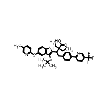 CCC(CC)(C(=O)O)C(Cc1ccc(-c2ccc(C(F)(F)F)cn2)cc1)c1[nH]c2ccc(Sc3ccc(C)cn3)cc2c1SC(C)(C)C